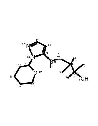 CC(C)(O)C(C)(C)OBc1ccnn1C1CCCCO1